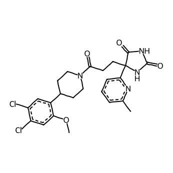 COc1cc(Cl)c(Cl)cc1C1CCN(C(=O)CCC2(c3cccc(C)n3)NC(=O)NC2=O)CC1